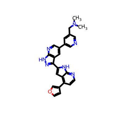 CN(C)Cc1cncc(-c2cnc3[nH]nc(-c4cc5c(-c6ccoc6)ccnc5[nH]4)c3c2)c1